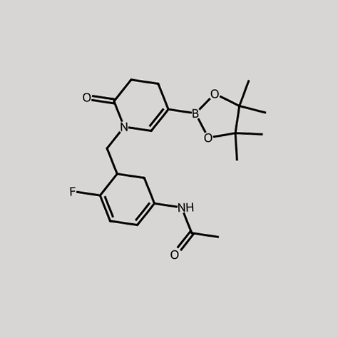 CC(=O)NC1=CC=C(F)C(CN2C=C(B3OC(C)(C)C(C)(C)O3)CCC2=O)C1